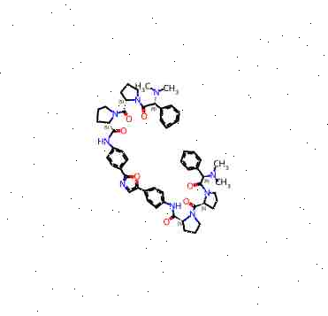 CN(C)[C@@H](C(=O)N1CCC[C@H]1C(=O)N1CCC[C@H]1C(=O)Nc1ccc(-c2cnc(-c3ccc(NC(=O)[C@@H]4CCCN4C(=O)[C@@H]4CCCN4C(=O)[C@@H](c4ccccc4)N(C)C)cc3)o2)cc1)c1ccccc1